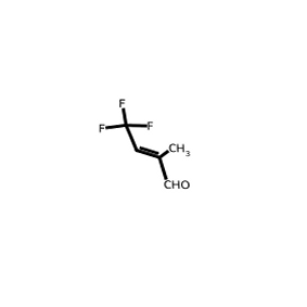 CC(C=O)=CC(F)(F)F